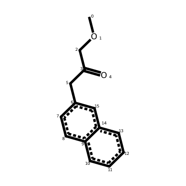 COCC(=O)Cc1ccc2ccccc2c1